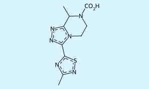 Cc1nsc(-c2nnc3n2CCN(C(=O)O)C3C)n1